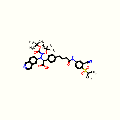 CC(C)S(=O)(=O)c1ccc(NC(=O)CCCc2ccc(C(C(=O)O)N(c3ccc4cnccc4c3)N(OC(C)(C)C)C(=O)OC(C)(C)C)cc2)cc1C#N